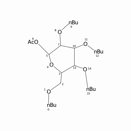 CCCCOCC1OC(OC(C)=O)C(OCCCC)C(OCCCC)C1OCCCC